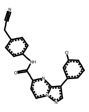 N#CCc1ccc(NC(=O)c2ccn3ncc(-c4cccc(Cl)c4)c3n2)cc1